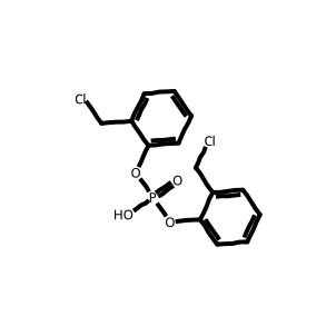 O=P(O)(Oc1ccccc1CCl)Oc1ccccc1CCl